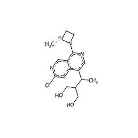 CC(c1cnc(N2CC[C@H]2C)c2cnc(Cl)cc12)C(CO)CO